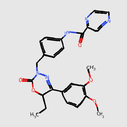 CCC1OC(=O)N(Cc2ccc(NC(=O)c3cnccn3)cc2)N=C1c1ccc(OC)c(OC)c1